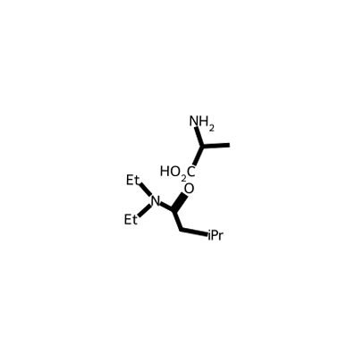 CC(N)C(=O)O.CCN(CC)C(=O)CC(C)C